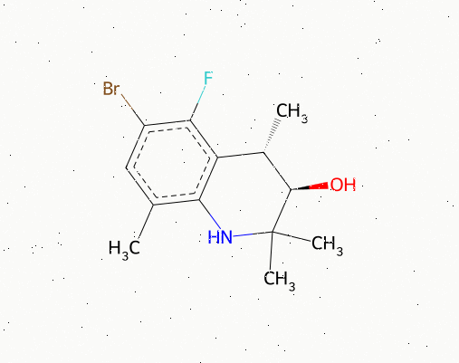 Cc1cc(Br)c(F)c2c1NC(C)(C)[C@H](O)[C@H]2C